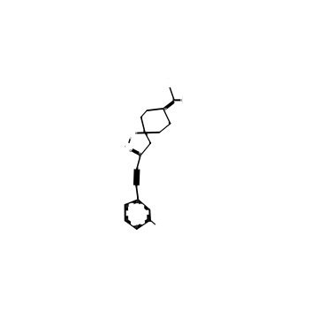 FC(F)=C1CCC2(CC1)CC(C#Cc1cccc(Cl)c1)=NO2